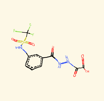 O=C(O)C(=O)NNC(=O)c1cccc(NS(=O)(=O)C(F)(F)F)c1